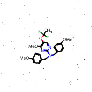 COc1ccc(CN(Cc2ccc(OC)cc2)c2ncc(OC(C)(F)F)c(OC)n2)cc1